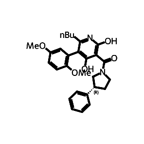 CCCCc1nc(O)c(C(=O)N2CC[C@H](c3ccccc3)C2)c(O)c1-c1cc(OC)ccc1OC